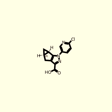 O=C(O)c1nn(-c2ccc(Cl)nc2)c2c1C[C@H]1C[C@@H]21